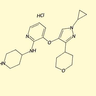 Cl.c1cnc(NC2CCNCC2)c(Oc2cn(C3CC3)nc2C2CCOCC2)c1